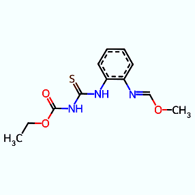 CCOC(=O)NC(=S)Nc1ccccc1N=COC